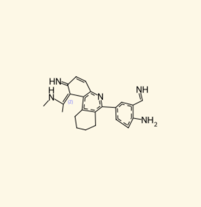 CN/C(C)=C1\C(=N)C=Cc2nc(-c3ccc(N)c(C=N)c3)c3c(c21)CCCC3